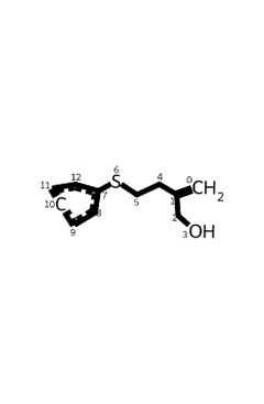 C=C(CO)CCSc1ccccc1